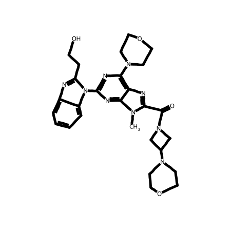 Cn1c(C(=O)N2CC(N3CCOCC3)C2)nc2c(N3CCOCC3)nc(-n3c(CCO)nc4ccccc43)nc21